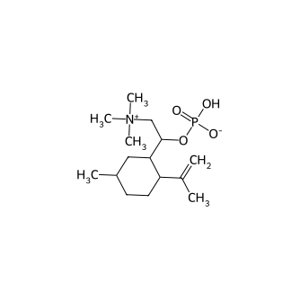 C=C(C)C1CCC(C)CC1C(C[N+](C)(C)C)OP(=O)([O-])O